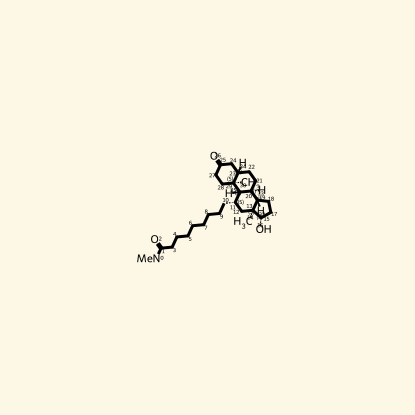 CNC(=O)CCCCCCCC[C@H]1C[C@]2(C)[C@@H](O)CC[C@H]2[C@@H]2CC[C@H]3CC(=O)CC[C@]3(C)[C@@H]12